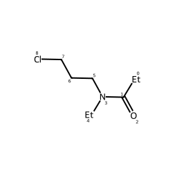 CCC(=O)N(CC)CCCCl